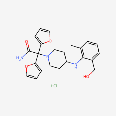 Cc1cccc(CO)c1NC1CCN(C(C(N)=O)(c2ccco2)c2ccco2)CC1.Cl